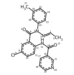 CC=NN(C(=O)c1cc(Cl)ccc1NC(=O)c1cccnc1)c1cccc(C)c1